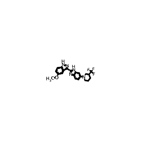 COc1ccc2[nH]nc(-c3nc4ccc(N5CCCC(C(F)(F)F)C5)cc4[nH]3)c2c1